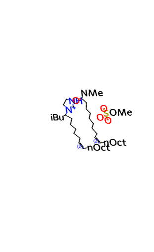 CCCCCCCC/C=C\CCCCCC(C(C)CC)[N+]1=CNCC1.CCCCCCCC/C=C\CCCCCCCC(=O)NC.COS(=O)(=O)[O-]